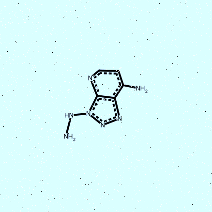 NNn1nnc2c(N)ccnc21